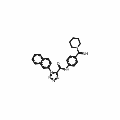 N=C(c1ccc(NC(=O)c2nnnn2-c2ccc3ccccc3c2)cc1)N1CCCCC1